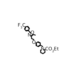 CCOC(=O)C1CCCCN1Cc1ccc(OCCc2nc(-c3ccc(C(F)(F)F)cc3)oc2C)cc1